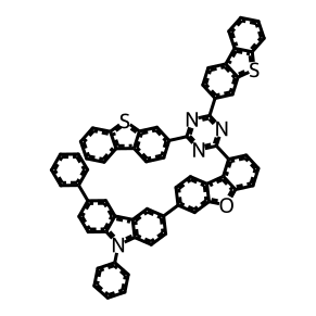 c1ccc(-c2ccc3c(c2)c2cc(-c4ccc5c(c4)oc4cccc(-c6nc(-c7ccc8c(c7)sc7ccccc78)nc(-c7ccc8c(c7)sc7ccccc78)n6)c45)ccc2n3-c2ccccc2)cc1